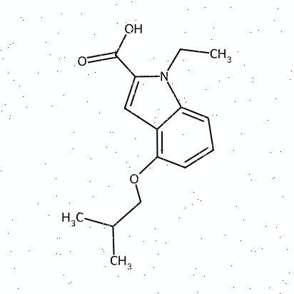 CCn1c(C(=O)O)cc2c(OCC(C)C)cccc21